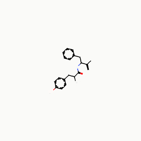 C=C(C)C(Cc1ccccc1)NC(=O)C(Cc1ccc(O)cc1)NC(C)=O